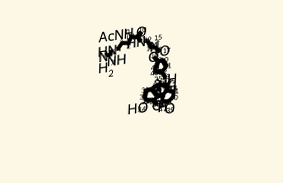 CC(=O)N[C@@H](CCCNC(=N)N)C(=O)NCCN(C)C(=O)Oc1ccc(C[N@@+]2(C)CC[C@]34c5c6ccc(O)c5O[C@H]3C(=O)CC[C@H]4[C@H]2C6)cc1